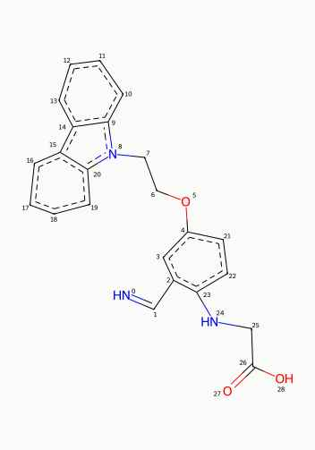 N=Cc1cc(OCCn2c3ccccc3c3ccccc32)ccc1NCC(=O)O